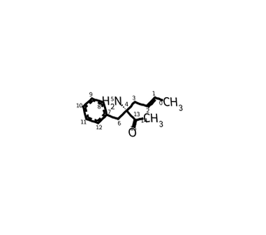 C/C=C/C[C@](N)(Cc1ccccc1)C(C)=O